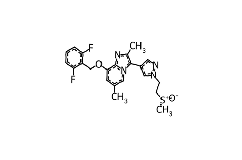 Cc1cc(OCc2c(F)cccc2F)c2nc(C)c(-c3cnn(CC[S+](C)[O-])c3)n2c1